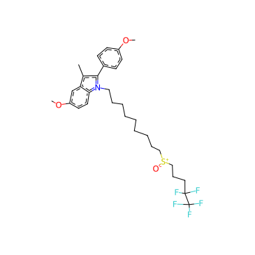 COc1ccc(-c2c(C)c3cc(OC)ccc3n2CCCCCCCCC[S+]([O-])CCCC(F)(F)C(F)(F)F)cc1